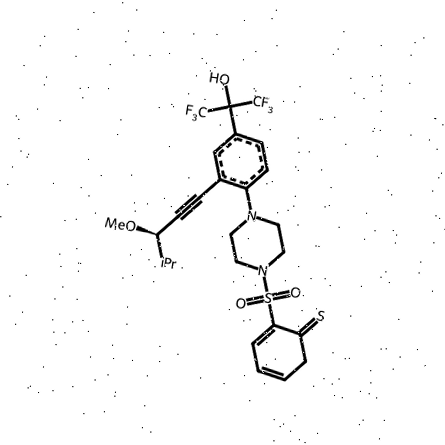 CO[C@@H](C#Cc1cc(C(O)(C(F)(F)F)C(F)(F)F)ccc1N1CCN(S(=O)(=O)C2=CC=CCC2=S)CC1)C(C)C